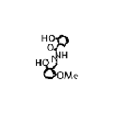 COc1cccc(O)c1/C=N/NC(=O)c1ccccc1O